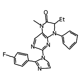 CCC1C(=O)N(C)c2cnc(-n3ccnc3-c3ccc(F)cc3)nc2N1c1ccccc1